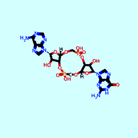 Nc1nc2c(ncn2[C@@H]2O[C@@H]3OCP(=O)(O)OC4C(O)[C@H](n5cnc6c(N)ncnc65)O[C@@H]4OCP(=O)(O)OC3C2O)c(=O)[nH]1